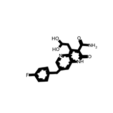 NC(=O)c1c(CC(O)O)c2ncc(Cc3ccc(F)cc3)cc2[nH]c1=O